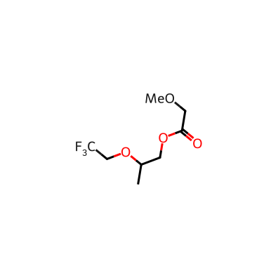 COCC(=O)OCC(C)OCC(F)(F)F